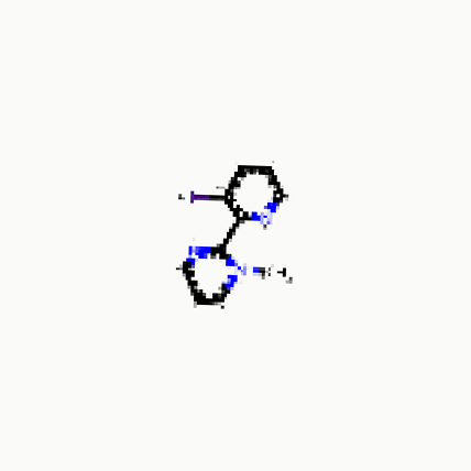 C[n+]1cccnc1-c1ncccc1I